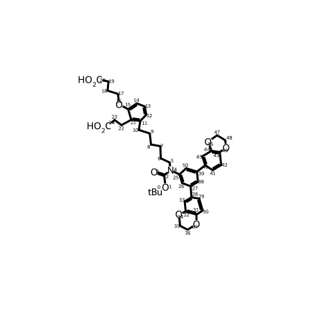 CC(C)(C)OC(=O)N(CCCCCCc1cccc(OCCCC(=O)O)c1CCC(=O)O)c1cc(-c2ccc3c(c2)OCCO3)cc(-c2ccc3c(c2)OCCO3)c1